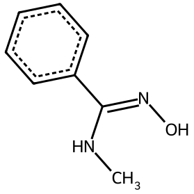 CNC(=NO)c1ccccc1